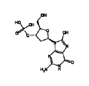 Nc1nc2c(nc(O)n2[C@H]2C[C@H](OP(=O)(O)O)[C@@H](CO)O2)c(=O)[nH]1